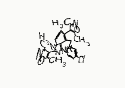 Cc1noc(C)c1-c1nc(N)c2c(Cc3cccc(Cl)c3)c(-c3c(C)noc3C)ccc2n1